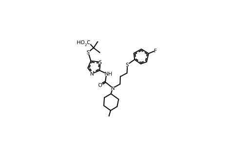 CC1CCC(N(CCCSc2ccc(F)cc2)C(=O)Nc2ncc(SC(C)(C)C(=O)O)s2)CC1